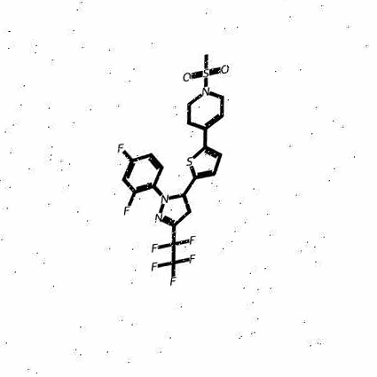 CS(=O)(=O)N1CC=C(c2ccc(C3CC(C(F)(F)C(F)(F)F)=NN3c3ccc(F)cc3F)s2)CC1